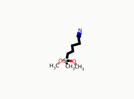 CO[Si](C)(CCCCC#N)OC